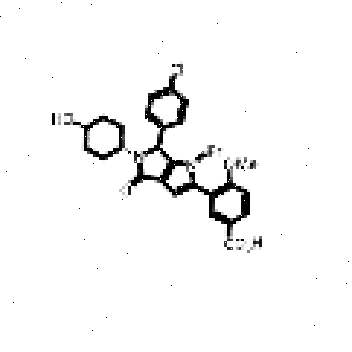 COc1ccc(C(=O)O)cc1-c1cc2c(n1C(C)C)C(c1ccc(Cl)cc1)N([C@H]1CC[C@H](O)CC1)C2=O